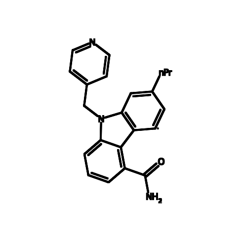 CCCc1c[c]c2c3c(C(N)=O)cccc3n(Cc3ccncc3)c2c1